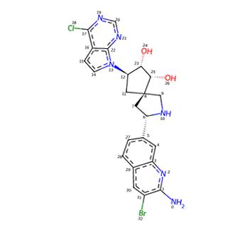 Nc1nc2cc([C@@H]3C[C@@]4(CN3)C[C@@H](n3ccc5c(Cl)ncnc53)[C@H](O)[C@@H]4O)ccc2cc1Br